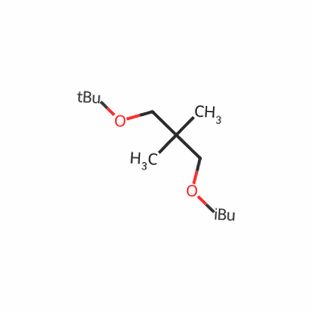 CCC(C)OCC(C)(C)COC(C)(C)C